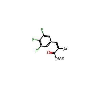 COC(=O)C(=Cc1cc(F)c(F)c(F)c1)C(C)=O